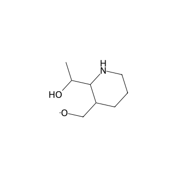 CC(O)C1NCCCC1C[O]